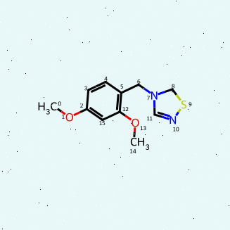 COc1ccc(CN2[CH]SN=C2)c(OC)c1